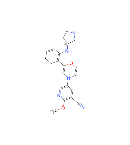 COc1ncc(N2C=COC(C3=C(N[C@H]4CCNC4)C=CCC3)=C2)cc1C#N